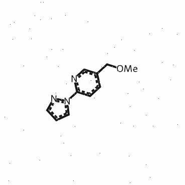 COCc1ccc(-n2cccn2)nc1